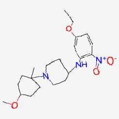 CCOc1ccc([N+](=O)[O-])c(NC2CCN(C3(C)CCC(OC)CC3)CC2)c1